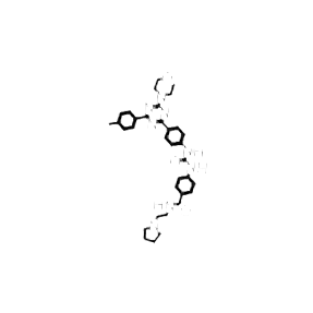 Cc1ccc(-c2nc(-c3ccc(NC(=O)Nc4ccc(C(=O)NCCN5CCCC5)cc4)cc3)nc(N3CCOCC3)n2)cc1